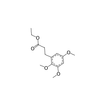 CCOC(=O)CCc1cc(OC)cc(OC)c1OC